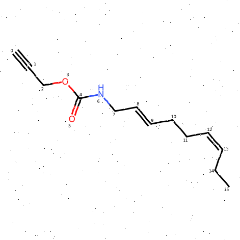 C#CCOC(=O)NC/C=C/CC/C=C\CC